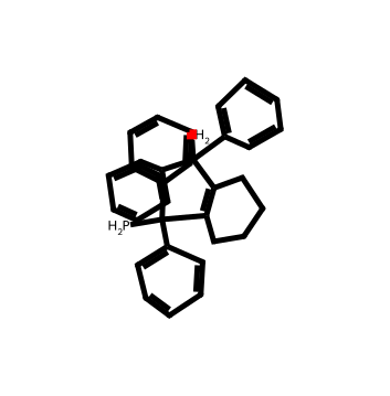 PC(C1=C(C(P)(c2ccccc2)c2ccccc2)CCCC1)(c1ccccc1)c1ccccc1